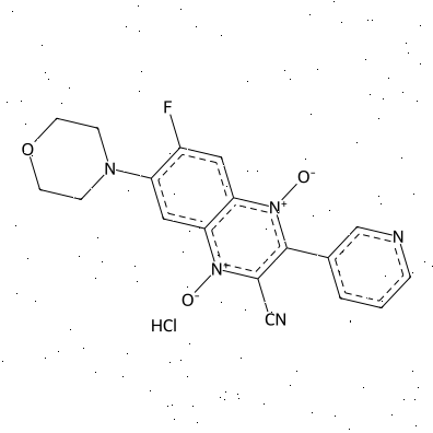 Cl.N#Cc1c(-c2cccnc2)[n+]([O-])c2cc(F)c(N3CCOCC3)cc2[n+]1[O-]